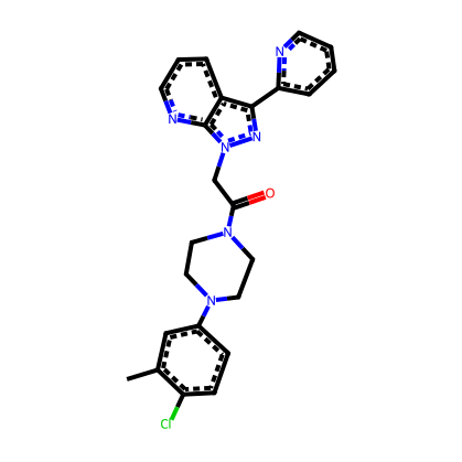 Cc1cc(N2CCN(C(=O)Cn3nc(-c4ccccn4)c4cccnc43)CC2)ccc1Cl